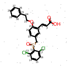 O=C(O)/C=C/c1cc(C[S+]([O-])c2c(Cl)cccc2Cl)ccc1OCCc1ccccc1